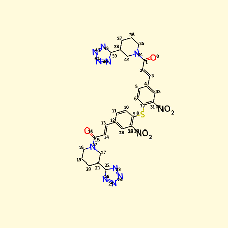 O=C(/C=C/c1ccc(Sc2ccc(/C=C/C(=O)N3CCCC(C4N=NN=N4)C3)cc2[N+](=O)[O-])c([N+](=O)[O-])c1)N1CCCC(C2N=NN=N2)C1